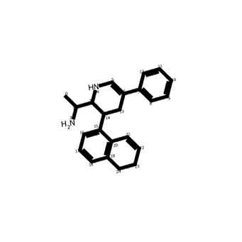 CC(N)C1NC=C(c2ccccc2)CC1c1cccc2c1C=CCC2